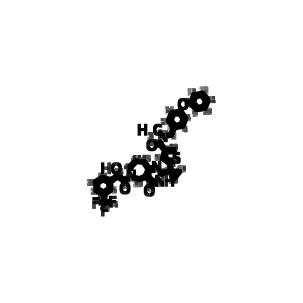 CN(Cc1ccc(Oc2ccccc2)cc1)C(=O)c1csc(C2(c3nc4c(c(=O)[nH]3)CN(C(=O)[C@H](O)c3cccc(C(F)(F)F)c3)CCC4)CC2)c1